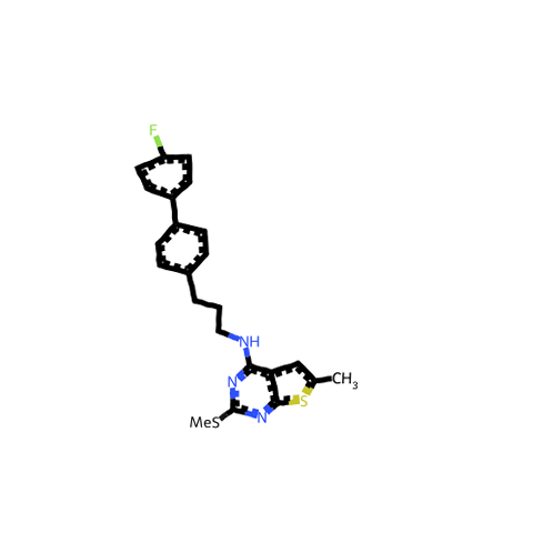 CSc1nc(NCCCc2ccc(-c3ccc(F)cc3)cc2)c2cc(C)sc2n1